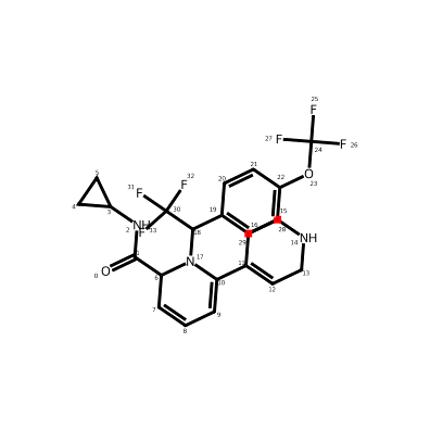 O=C(NC1CC1)C1C=CC=C(C2=CCNCC2)N1C(c1ccc(OC(F)(F)F)cc1)C(F)(F)F